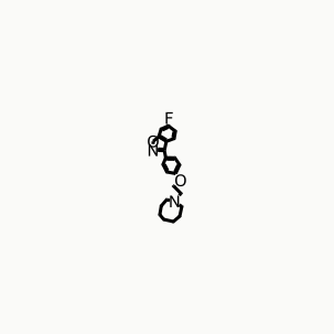 Fc1ccc2c(-c3ccc(OCCN4CCCCCCC4)cc3)noc2c1